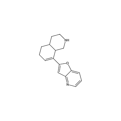 C1=C(c2cc3ncccc3o2)C2CNCCC2CC1